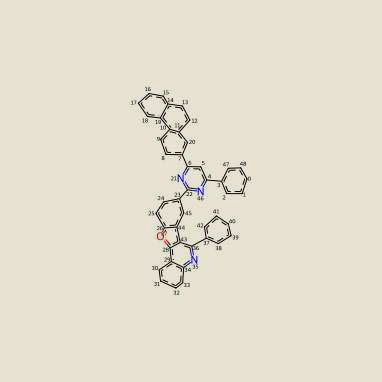 c1ccc(-c2cc(-c3ccc4c(ccc5ccccc54)c3)nc(-c3ccc4oc5c6ccccc6nc(-c6ccccc6)c5c4c3)n2)cc1